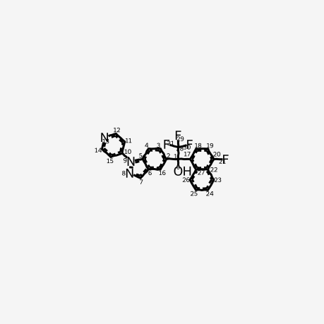 OC(c1ccc2c(cnn2-c2ccncc2)c1)(c1ccc(F)c2ccccc12)C(F)(F)F